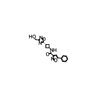 O=C(N[C@H]1C[C@@H](c2nc(CO)no2)C1)c1cc(-c2ccccc2)on1